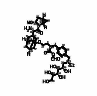 CCN(Cc1ccc(CN(CCO[C@]23C[C@H]4C[C@H](C2)C[C@@]([C@H](N)C(=O)N2[C@H](C#N)C[C@@H]5C[C@@H]52)(C4)C3)C(=O)OC=O)cc1)C[C@H](O)[C@@H](O)[C@H](O)[C@H](O)CO